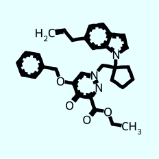 C=CCc1ccc2ccn(C3(Cn4cc(OCc5ccccc5)c(=O)c(C(=O)OCC)n4)CCCC3)c2c1